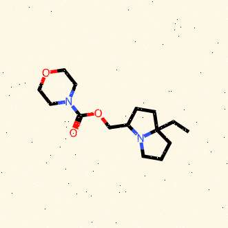 CCC12CCCN1C(COC(=O)N1CCOCC1)CC2